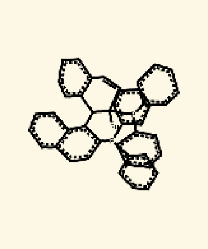 [Ru][C]1(P(c2ccccc2)c2ccccc2)C=Cc2ccccc2C1c1c(P(c2ccccc2)c2ccccc2)ccc2ccccc12